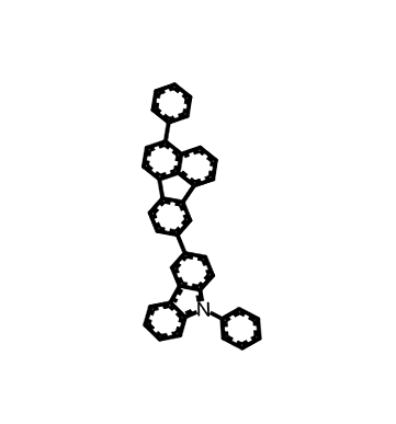 c1ccc(-c2ccc3c4c(cccc24)-c2cc(-c4ccc5c(c4)c4ccccc4n5-c4ccccc4)ccc2-3)cc1